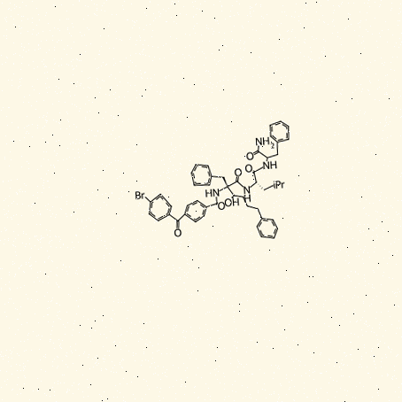 CC(C)C[C@H](NC(=O)[C@@](Cc1ccccc1)(NC(=O)c1ccc(C(=O)c2ccc(Br)cc2)cc1)[C@H](O)CCCc1ccccc1)C(=O)NC(Cc1ccccc1)C(N)=O